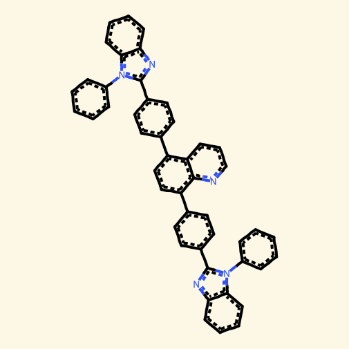 c1ccc(-n2c(-c3ccc(-c4ccc(-c5ccc(-c6nc7ccccc7n6-c6ccccc6)cc5)c5ncccc45)cc3)nc3ccccc32)cc1